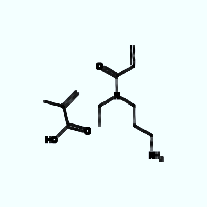 C=C(C)C(=O)O.C=CC(=O)N(CC)CCCN